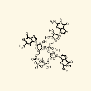 Nc1nc2c(ncn2[C@@H]2O[C@H](COP(=O)(O)O[C@H]3[C@@H](O)[C@H](n4cnc5c(=O)[nH]c(N)nc54)O[C@@H]3COP(=O)(O)OP(=O)(O)OP(=O)(O)OC[C@H]3O[C@@H](n4cnc5c(=O)[nH]c(N)nc54)[C@H](O)[C@@H]3O)[C@@H](O)[C@H]2O)c(=O)[nH]1